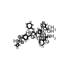 CC(C)(O)c1cnnn1[C@H]1C[C@@H](C(=O)NC2(C(=O)C(N)=O)CCSCC2)N(C(=O)[C@@H](CC2CCCCC2)NC(=O)c2ccc(S(=O)(=O)NC3CCC3)cc2)C1